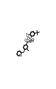 COc1ccc(C(C)(C)C)cc1S(=O)(=O)NC(=O)c1ccc(Cc2ccccn2)c(C)c1